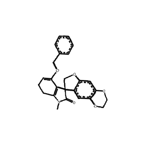 CN1C(=O)C2(COc3cc4c(cc32)OCCO4)C2=C1CCC=C2OCc1ccccc1